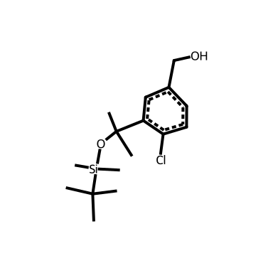 CC(C)(O[Si](C)(C)C(C)(C)C)c1cc(CO)ccc1Cl